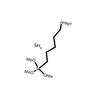 CCCCCCCCCCCC[Si](OC)(OC)OC.[SiH4]